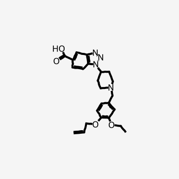 C=CCOc1ccc(CN2CCC(n3nnc4cc(C(=O)O)ccc43)CC2)cc1OCC